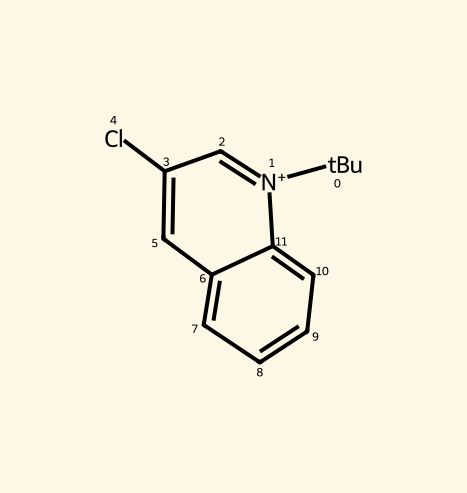 CC(C)(C)[n+]1cc(Cl)cc2ccccc21